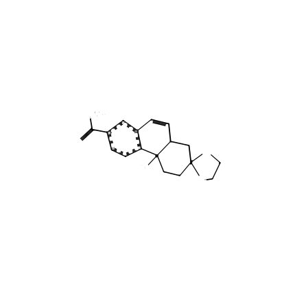 CCC12CCC3(CC1C=Cc1cc(C(=O)OC)ccc12)OCCO3